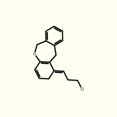 ClCCC=C1CC=CC2=C1Cc1ccccc1CO2